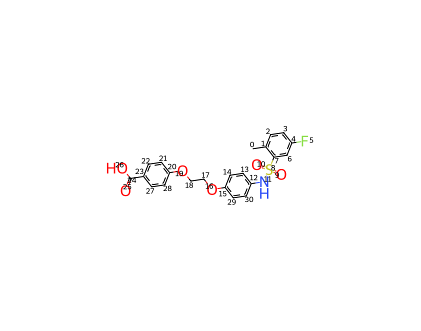 Cc1ccc(F)cc1S(=O)(=O)Nc1ccc(OCCOc2ccc(C(=O)O)cc2)cc1